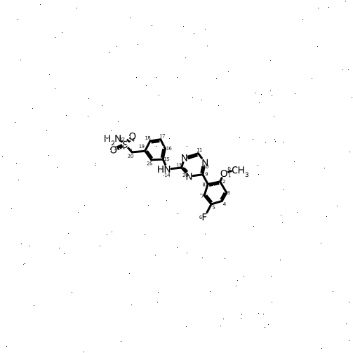 COc1ccc(F)cc1-c1ncnc(Nc2cccc(CS(N)(=O)=O)c2)n1